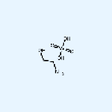 NCCO.[O]=[Mn](=[O])([OH])[OH]